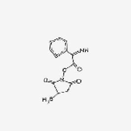 BC1CC(=O)N(OC(=O)C(=N)c2ccccc2)C1=O